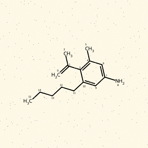 C=C(C)c1c(C)cc(N)cc1CCCCC